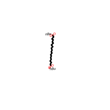 CCCCOC(=O)CCCCCCCCCCCCCCCCCCC(=O)OCCCC